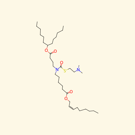 CCCCCC/C=C\COC(=O)CCCCCN(CCCC(=O)OC(CCCCCC)CCCCCC)C(=O)SCCN(C)C